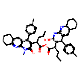 CCCC(C(=O)OC(=O)C(CCC)c1c(-c2ccc(C)cc2)c2cc3c(nc2n(C)c1=O)CCCC3)c1c(O)nc2nc3c(cc2c1-c1ccc(C)cc1)CCCC3